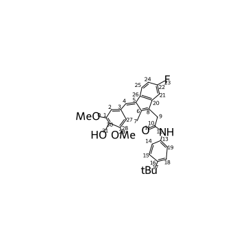 COc1cc(C=C2C(C)=C(CC(=O)Nc3ccc(C(C)(C)C)cc3)c3cc(F)ccc32)cc(OC)c1O